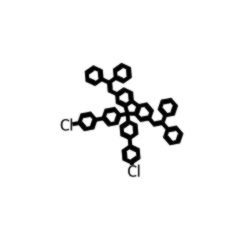 Clc1ccc(-c2ccc(C3(c4ccc(-c5ccc(Cl)cc5)cc4)c4cc(C=C(c5ccccc5)c5ccccc5)ccc4-c4ccc(C=C(c5ccccc5)c5ccccc5)cc43)cc2)cc1